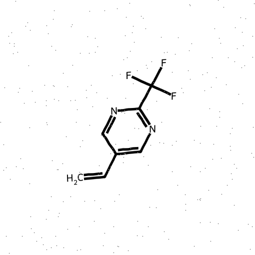 C=Cc1cnc(C(F)(F)F)nc1